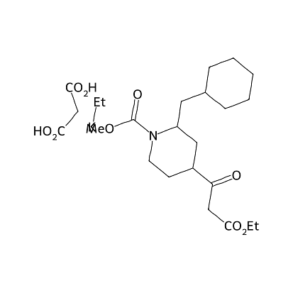 CCOC(=O)CC(=O)C1CCN(C(=O)OC)C(CC2CCCCC2)C1.C[CH2][K].O=C(O)CC(=O)O